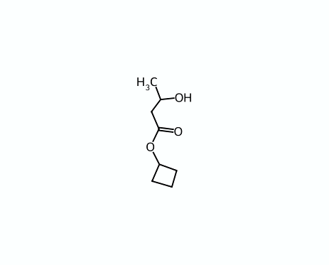 CC(O)CC(=O)OC1CCC1